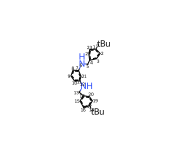 CC(C)(C)c1ccc(CNc2cccc(NCc3ccc(C(C)(C)C)cc3)c2)cc1